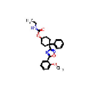 CCNC(=O)OC1CCC(c2ccccc2)(c2noc(-c3ccccc3OC)n2)CC1